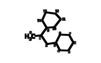 C[C](CC1CCCCC1)C1CCCCC1